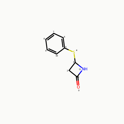 O=C1CC(Sc2ccccc2)N1